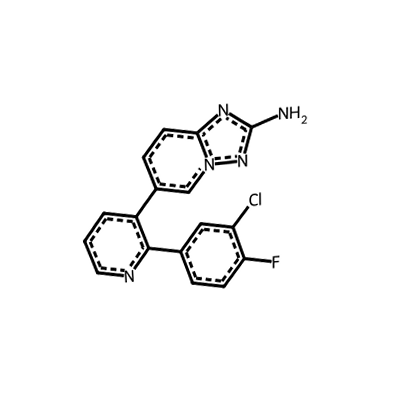 Nc1nc2ccc(-c3cccnc3-c3ccc(F)c(Cl)c3)cn2n1